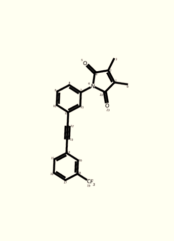 CC1=C(C)C(=O)N(c2cccc(C#Cc3cccc(C(F)(F)F)c3)c2)C1=O